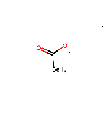 O=[C]([O-])[GeH2+]